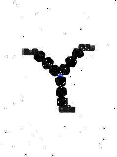 CC(C)COc1ccc(-c2ccc(-c3ccc(-n4c5ccc(-c6ccc(-c7ccc(OCC(C)C)cc7)cc6)cc5c5cc(-c6ccc(-c7ccc(OCC(C)C)cc7)cc6)ccc54)cc3)cc2)cc1